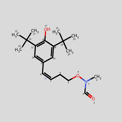 CN(C=O)OCC/C=C\c1cc(C(C)(C)C)c(O)c(C(C)(C)C)c1